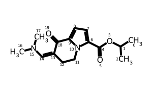 CC(C)OC(=O)c1ccc2n1CC/C(=C/N(C)C)C2=O